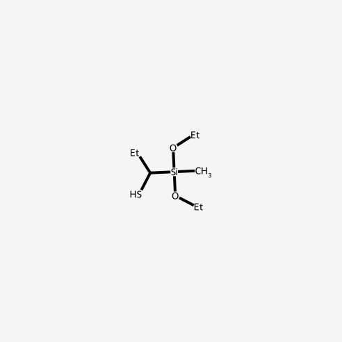 CCO[Si](C)(OCC)C(S)CC